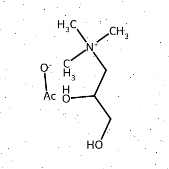 CC(=O)[O-].C[N+](C)(C)CC(O)CO